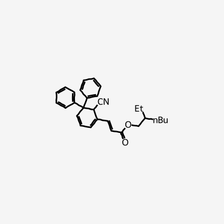 CCCCC(CC)COC(=O)C=CC1=CC=CC(c2ccccc2)(c2ccccc2)C1C#N